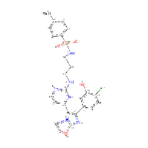 COc1ccc(S(=O)(=O)NCCCNc2nccc(-c3c(-c4ccc(F)c(O)c4)nc4occn34)n2)cc1